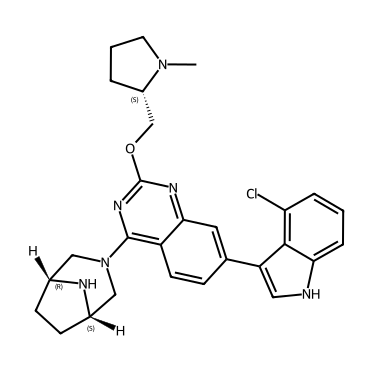 CN1CCC[C@H]1COc1nc(N2C[C@H]3CC[C@@H](C2)N3)c2ccc(-c3c[nH]c4cccc(Cl)c34)cc2n1